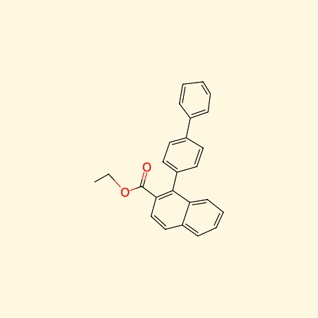 CCOC(=O)c1ccc2ccccc2c1-c1ccc(-c2ccccc2)cc1